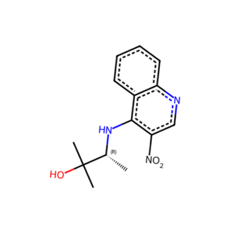 C[C@@H](Nc1c([N+](=O)[O-])cnc2ccccc12)C(C)(C)O